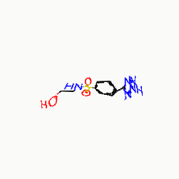 O=S(=O)(NCCO)c1ccc(-c2nn[nH]n2)cc1